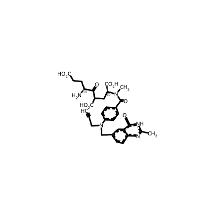 C#CCN(Cc1ccc2nc(C)[nH]c(=O)c2c1)c1ccc(C(=O)N(C)[C@@H](CC(C(=O)O)C(=O)[C@@H](N)CCC(=O)O)C(=O)O)cc1